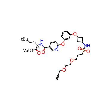 C#CCOCCOCCCS(=O)(=O)NC1CC(Oc2cccc(Oc3ccc(C(=O)N[C@@H](CCC(C)(C)C)C(=O)OC)cn3)c2)C1